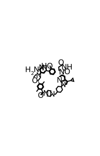 Cc1cc([C@@H]2CN(c3cc(-c4ccccc4O)nnc3N)CCO2)c(C)cc1C(=O)N1CCN(CC2CCC(n3cc(C4CC4)c4cc(N5CCC(=O)NC5=O)cnc43)CC2)CC1